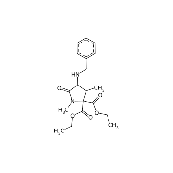 CCOC(=O)C1(C(=O)OCC)C(C)C(NCc2ccccc2)C(=O)N1C